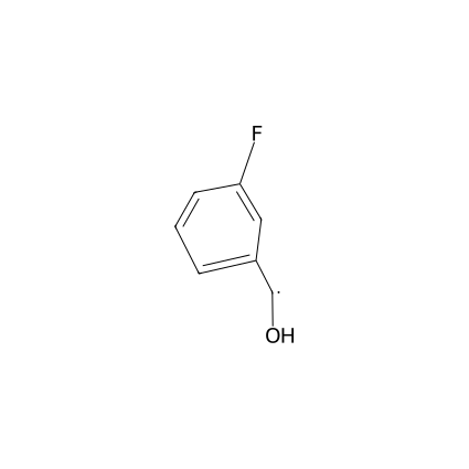 O[CH]c1cccc(F)c1